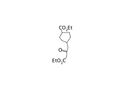 CCOC(=O)CC(=O)CC1CCC(C(=O)OCC)CC1